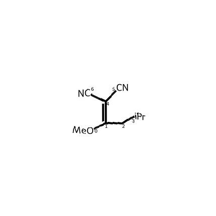 COC(CC(C)C)=C(C#N)C#N